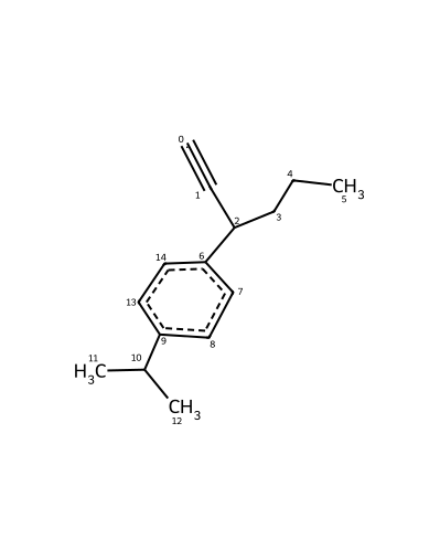 [C]#CC(CCC)c1ccc(C(C)C)cc1